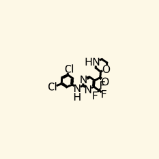 O=C(c1cnc(Nc2cc(Cl)cc(Cl)c2)nc1C(F)(F)F)C1CNCCO1